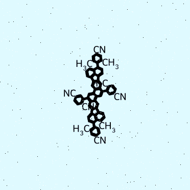 Cc1ccc(C#N)cc1-c1cc2c3cc4c(cc3c(-c3cc(C#N)ccc3C)cc2c2cc3c(cc12)-c1ccc(-c2c(C)cc(C#N)cc2C)c2cccc-3c12)-c1ccc(-c2c(C)cc(C#N)cc2C)c2cccc-4c12